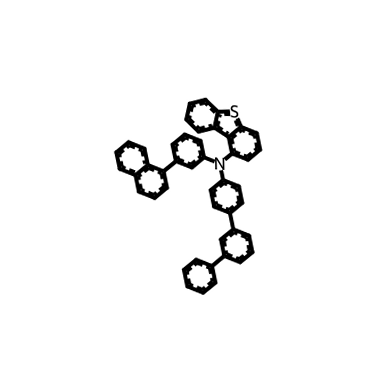 c1ccc(-c2cccc(-c3ccc(N(c4cccc(-c5cccc6ccccc56)c4)c4cccc5sc6ccccc6c45)cc3)c2)cc1